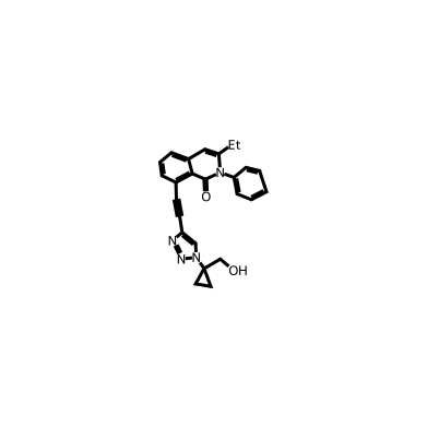 CCc1cc2cccc(C#Cc3cn(C4(CO)CC4)nn3)c2c(=O)n1-c1ccccc1